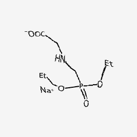 CCOP(=O)(CNCC(=O)[O-])OCC.[Na+]